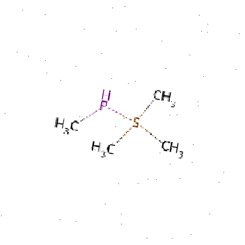 CPS(C)(C)C